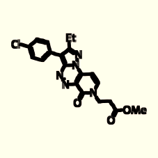 CCc1nn2c(nnc3c(=O)n(CCC(=O)OC)ccc32)c1-c1ccc(Cl)cc1